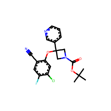 CC(C)(C)OC(=O)N1CC(Oc2cc(Cl)c(F)cc2C#N)(c2cccnc2)C1